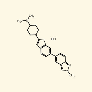 CN(C)C1CCN(c2nc3ccc(-c4ccc5nn(C)cc5c4)cc3s2)CC1.Cl